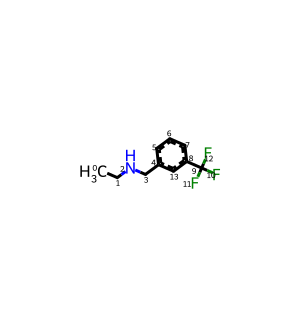 CCNCc1cccc(C(F)(F)F)c1